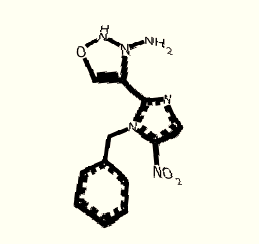 NN1NOC=C1c1ncc([N+](=O)[O-])n1Cc1ccccc1